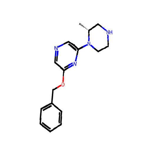 C[C@@H]1CNCCN1c1cncc(OCc2ccccc2)n1